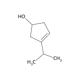 CC(C)C1=CCC(O)C1